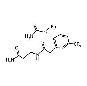 CC(C)(C)OC(N)=O.NC(=O)CCNC(=O)Cc1cccc(C(F)(F)F)c1